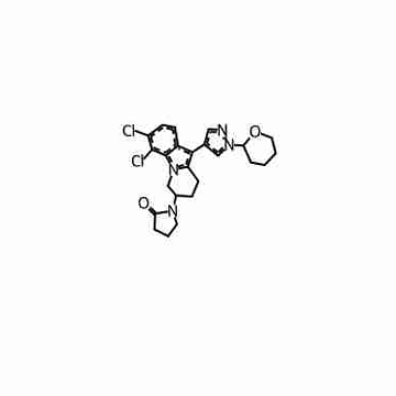 O=C1CCCN1C1CCc2c(-c3cnn(C4CCCCO4)c3)c3ccc(Cl)c(Cl)c3n2C1